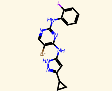 Brc1cnc(Nc2ccccc2I)nc1Nc1cc(C2CC2)n[nH]1